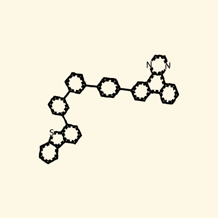 c1cc(-c2ccc(-c3ccc4c5ccccc5c5nccnc5c4c3)cc2)cc(-c2cccc(-c3cccc4c3sc3ccccc34)c2)c1